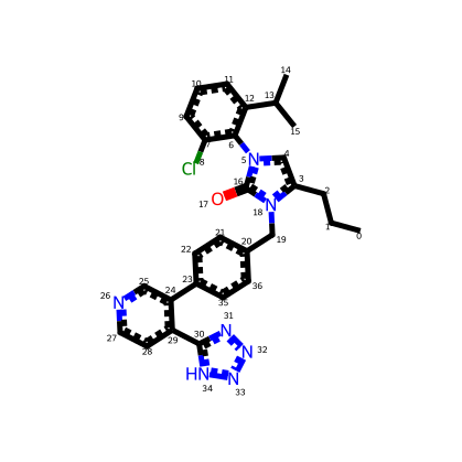 CCCc1cn(-c2c(Cl)cccc2C(C)C)c(=O)n1Cc1ccc(-c2cnccc2-c2nnn[nH]2)cc1